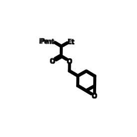 CCCC(C)C(CC)C(=O)OCC1CCC2OC2C1